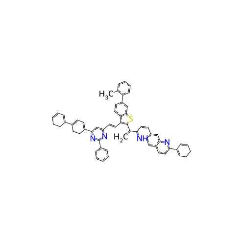 C=C(C(=N)/C=C\c1ccc2ccc(C3=CCCC=C3)nc2c1)c1sc2cc(-c3ccccc3C)ccc2c1/C=C/c1cc(C2=CC=C(C3=CC=CCC3)CC2)nc(-c2ccccc2)n1